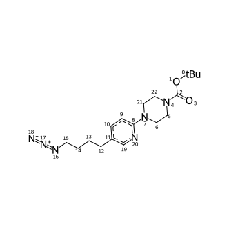 CC(C)(C)OC(=O)N1CCN(c2ccc(CCCCN=[N+]=[N-])cn2)CC1